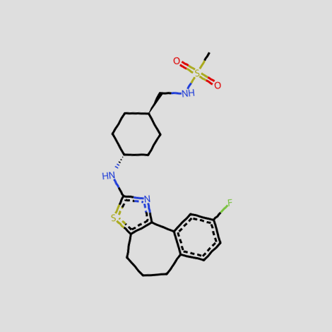 CS(=O)(=O)NC[C@H]1CC[C@H](Nc2nc3c(s2)CCCc2ccc(F)cc2-3)CC1